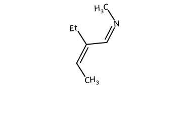 C/C=C(\C=N/C)CC